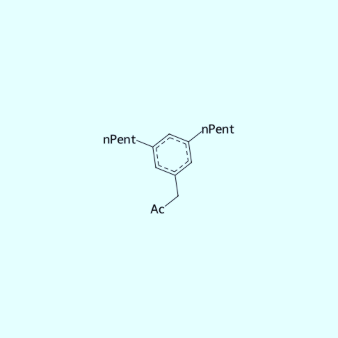 CCCCCc1cc(CCCCC)cc(CC(C)=O)c1